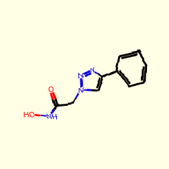 O=C(Cn1cc(-c2ccccc2)nn1)NO